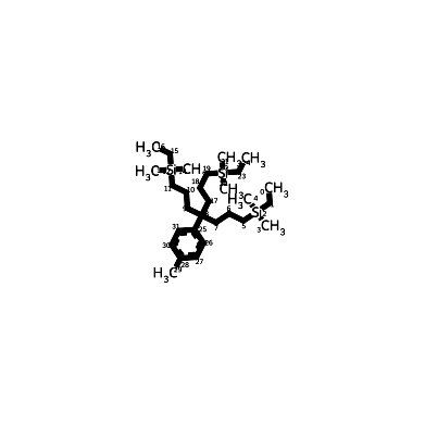 CC[Si](C)(C)CCCC(CCC[Si](C)(C)CC)(CCC[Si](C)(C)CC)c1ccc(C)cc1